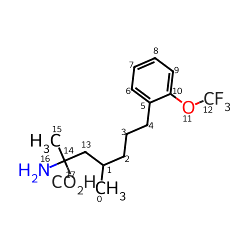 CC(CCCc1ccccc1OC(F)(F)F)CC(C)(N)C(=O)O